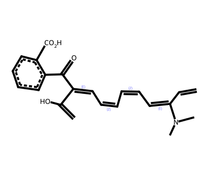 C=C\C(=C/C=C\C=C/C=C(\C(=C)O)C(=O)c1ccccc1C(=O)O)N(C)C